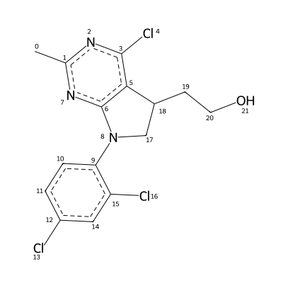 Cc1nc(Cl)c2c(n1)N(c1ccc(Cl)cc1Cl)CC2CCO